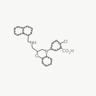 O=C(O)c1cc(N2CC(CNCc3cccc4ccccc34)Oc3ccccc32)ccc1Cl